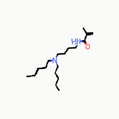 C=C(C)C(=O)NCCCCN(CCCCC)CCCCC